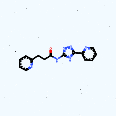 O=C(CCc1ccccn1)Nc1nnc(-c2ccccn2)[nH]1